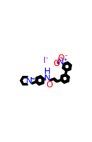 C[N+]1(Cc2ccc(NC(=O)C=Cc3cccc(-c4cccc([N+](=O)[O-])c4)c3)cc2)CCCCC1.[I-]